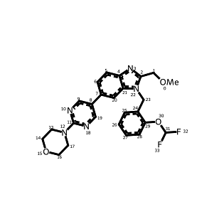 COCc1nc2ccc(-c3cnc(N4CCOCC4)nc3)cc2n1Cc1ccccc1OC(F)F